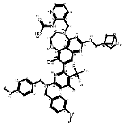 COc1ccc(CN(Cc2ccc(OC)cc2)c2cc(C)c(C(F)(F)F)c(-c3cc4nc(OCC56COC(C5)C6)nc5c4c(c3Cl)OCCN5Cc3cccnc3NC(=O)O)n2)cc1